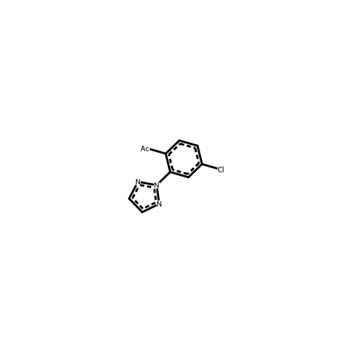 CC(=O)c1ccc(Cl)cc1-n1nccn1